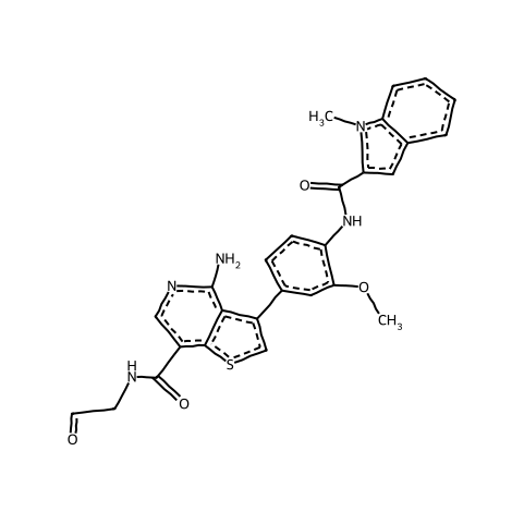 COc1cc(-c2csc3c(C(=O)NCC=O)cnc(N)c23)ccc1NC(=O)c1cc2ccccc2n1C